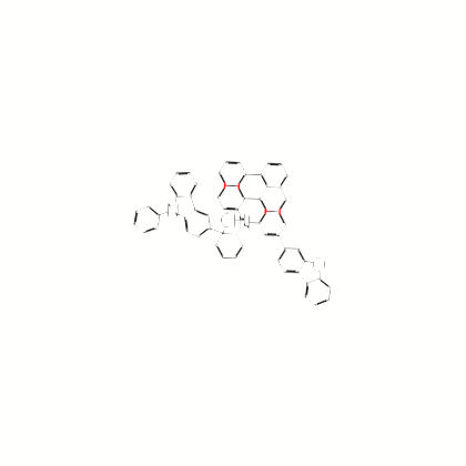 CC1(c2ccc3c(c2)c2ccccc2n3-c2ccccc2)C=CC=CC1N(c1cccc(-c2ccc3c(c2)oc2ccccc23)c1)c1ccccc1-c1cccc2cccc(-c3ccccc3)c12